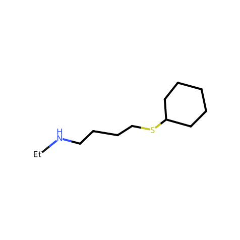 CCNCCCCSC1CCCCC1